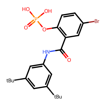 CC(C)(C)c1cc(NC(=O)c2cc(Br)ccc2OP(=O)(O)O)cc(C(C)(C)C)c1